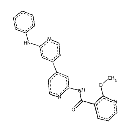 COc1ncccc1C(=O)Nc1cc(-c2ccnc(Nc3ccccc3)c2)ccn1